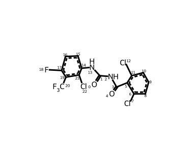 O=C(NC(=O)c1c(Cl)cccc1Cl)Nc1ccc(F)c(C(F)(F)F)c1Cl